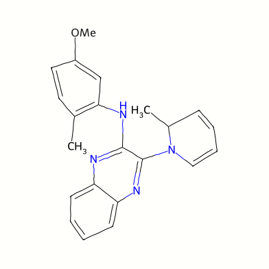 COc1ccc(C)c(Nc2nc3ccccc3nc2N2C=CC=CC2C)c1